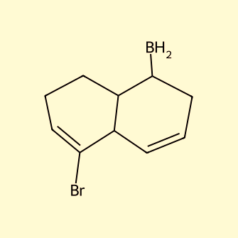 BC1CC=CC2C(Br)=CCCC12